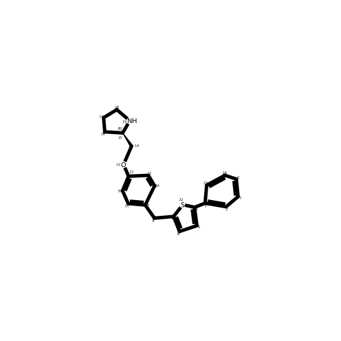 c1ccc(-c2ccc(Cc3ccc(OC[C@H]4CCCN4)cc3)s2)cc1